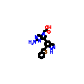 Nc1ncc2c(n1)c(-c1cc(-c3cc4ccccc4s3)c3[nH]ncc3c1)cn2CC(=O)O